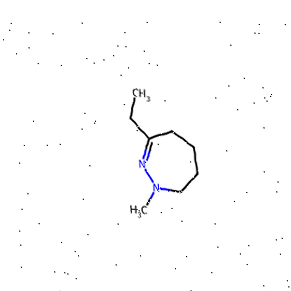 CCC1=NN(C)CCCC1